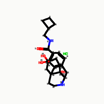 Cl.O=C(NCC1CCC1)c1ccc2c(c1O)C13CCNC(C2)C1(O)CCC(O)C3